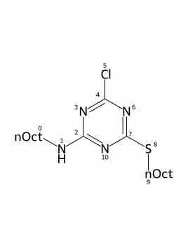 CCCCCCCCNc1nc(Cl)nc(SCCCCCCCC)n1